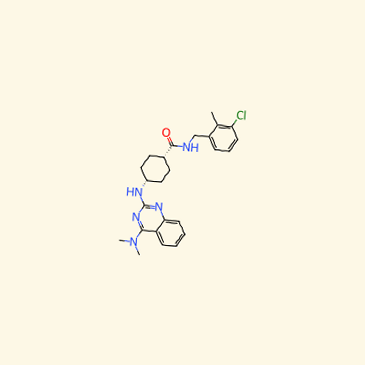 Cc1c(Cl)cccc1CNC(=O)[C@H]1CC[C@@H](Nc2nc(N(C)C)c3ccccc3n2)CC1